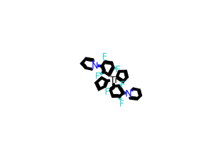 Fc1cc(F)[c]([Ti]([C]2=CC=CC2)([C]2=CC=CC2)[c]2c(F)cc(F)c(N3C=CC=CC3)c2F)c(F)c1N1C=CC=CC1